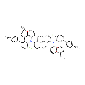 Cc1ccc(-c2ccc(F)c(N(c3ccccc3)c3ccc4ccc5c(N(c6ccccc6)c6c(F)ccc(-c7ccc(C)cc7)c6-c6ccc(C)cc6)ccc6ccc3c4c65)c2-c2ccc(C)cc2)cc1